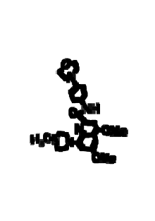 COc1cc(N2CCN(C)CC2)c2nc(C(=O)Nc3ccc(N4CCOCC4)cc3)cc(OC)c2c1